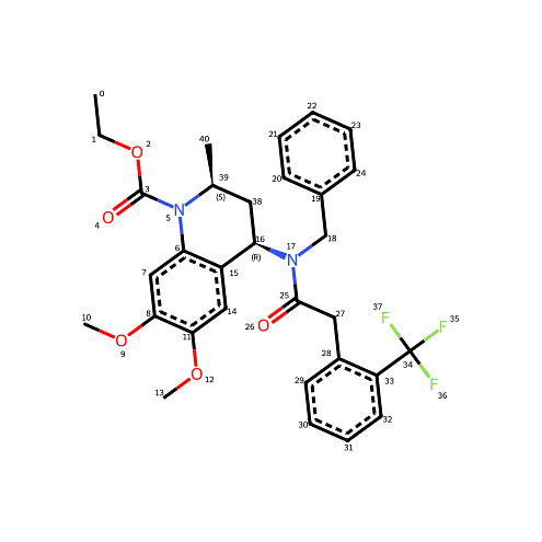 CCOC(=O)N1c2cc(OC)c(OC)cc2[C@H](N(Cc2ccccc2)C(=O)Cc2ccccc2C(F)(F)F)C[C@@H]1C